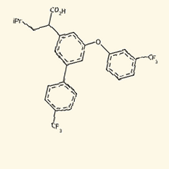 CC(C)CC(C(=O)O)c1cc(Oc2cccc(C(F)(F)F)c2)cc(-c2ccc(C(F)(F)F)cc2)c1